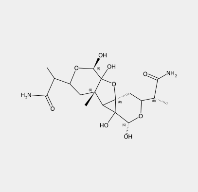 CC(C(N)=O)C1C[C@@]2(C)C3C4(O)[C@@H](O)OC([C@@H](C)C(N)=O)C[C@@]34OC2(O)[C@H](O)O1